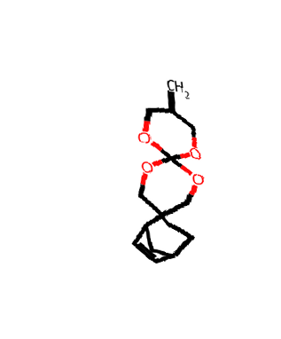 C=C1COC2(OC1)OCC1(CO2)CC2C=CC1C2